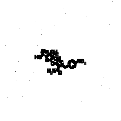 CC(=O)C(O)[C@H]1O[C@@H](Oc2ncn(Cc3ccc([N+](=O)[O-])cc3)c2C(N)=O)[C@@](O)(C(C)=O)[C@@]1(O)C(C)=O